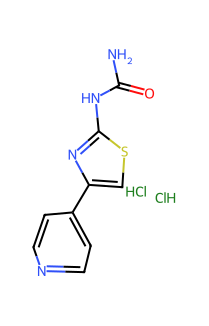 Cl.Cl.NC(=O)Nc1nc(-c2ccncc2)cs1